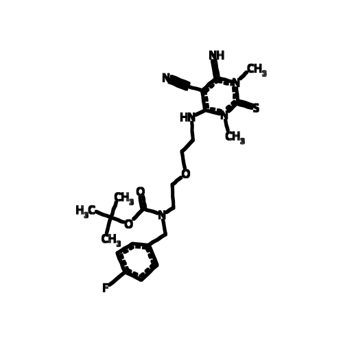 Cn1c(NCCOCCN(Cc2ccc(F)cc2)C(=O)OC(C)(C)C)c(C#N)c(=N)n(C)c1=S